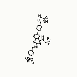 N#CC1(NC(=O)c2ccc(-c3ccc4nc(NCc5ccc(S(N)(=O)=O)cc5)nc(NCC(F)(F)F)c4n3)cc2)CC1